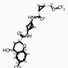 O=C(NC12CC(NC(=O)[C@@H]3C[C@@H]3COC(F)(F)F)(C1)C2)[C@H]1C[C@@H](O)c2cc(Cl)ccc2O1